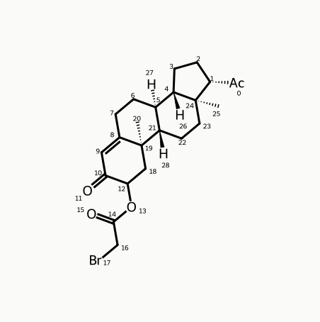 CC(=O)[C@H]1CC[C@H]2[C@@H]3CCC4=CC(=O)C(OC(=O)CBr)C[C@]4(C)[C@H]3CC[C@]12C